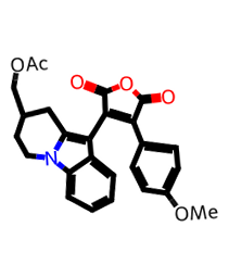 COc1ccc(C2=C(c3c4n(c5ccccc35)CCC(COC(C)=O)C4)C(=O)OC2=O)cc1